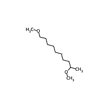 COCCCCC[CH]CCC(C)OC